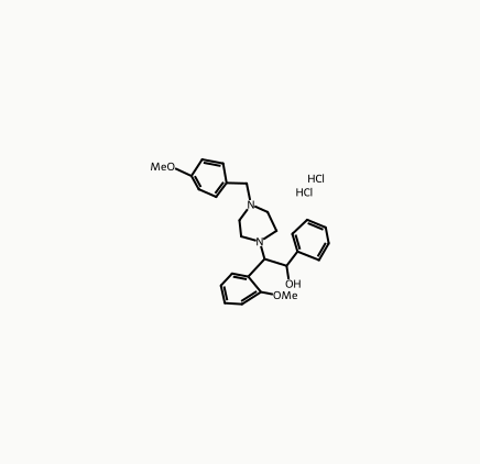 COc1ccc(CN2CCN(C(c3ccccc3OC)C(O)c3ccccc3)CC2)cc1.Cl.Cl